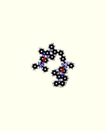 c1ccc(-c2nc(-c3ccc(-c4cccc(-c5ccc6c(c5)c5ccccc5n6-c5cc6c7ccccc7n(-c7ccc(-c8nc(-c9ccccc9)nc(-c9ccccc9)n8)cc7)c6c6c5c5ccccc5n6-c5ccccc5)c4)cc3)nc(-c3ccc(-n4c5ccccc5c5cc(-n6c7ccccc7c7ccccc76)c6c7ccccc7n(-c7ccccc7)c6c54)cc3)n2)cc1